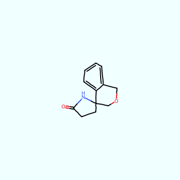 O=C1CCC2(COCc3ccccc32)N1